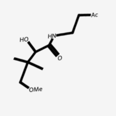 COCC(C)(C)C(O)C(=O)NCCC(C)=O